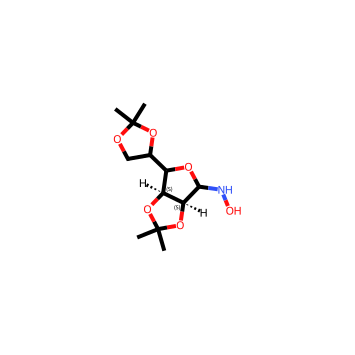 CC1(C)OCC(C2OC(NO)[C@H]3OC(C)(C)O[C@@H]23)O1